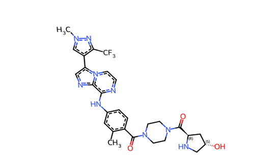 Cc1cc(Nc2nccn3c(-c4cn(C)nc4C(F)(F)F)cnc23)ccc1C(=O)N1CCN(C(=O)[C@H]2C[C@H](O)CN2)CC1